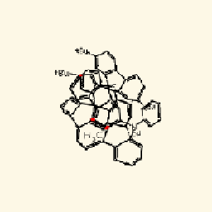 CC1C2=C(C=CC1C(C)(C)C)Sc1ccc(C(C)(C)C)cc1C21c2ccccc2-c2ccc(-c3ccccc3N(c3ccccc3)c3ccc4c(c3)C3(c5ccccc5-4)c4cc(C(C)(C)C)ccc4-c4ccc(C(C)(C)C)cc43)cc21